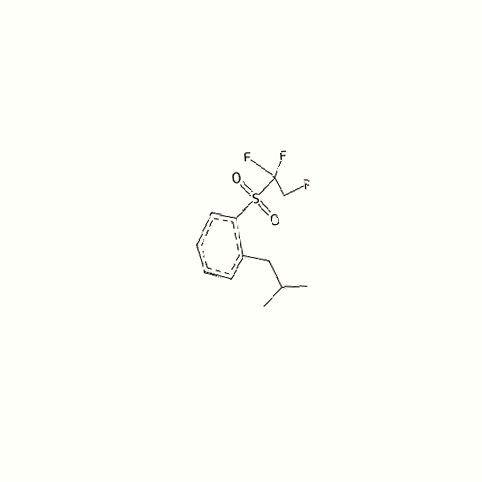 CC(C)Cc1ccccc1S(=O)(=O)C(F)(F)CF